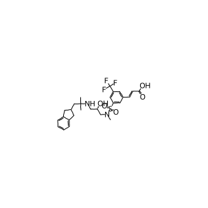 CN(C[C@H](O)CNC(C)(C)CC1Cc2ccccc2C1)S(=O)(=O)c1cc(/C=C/C(=O)O)cc(C(F)(F)F)c1